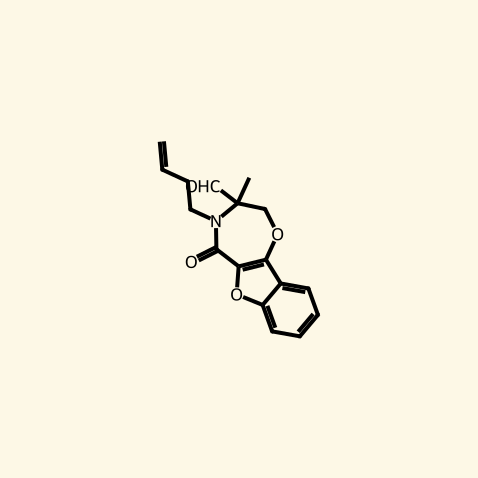 C=CCCN1C(=O)c2oc3ccccc3c2OCC1(C)C=O